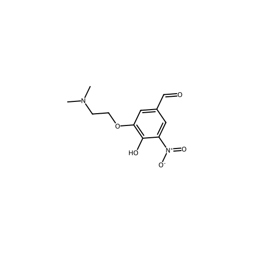 CN(C)CCOc1cc(C=O)cc([N+](=O)[O-])c1O